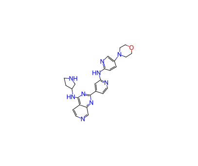 c1cc2c(NC3CCNC3)nc(-c3ccnc(Nc4ccc(N5CCOCC5)cn4)c3)nc2cn1